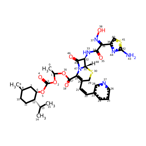 CC(OC(=O)O[C@@H]1C[C@H](C)CC[C@H]1C(C)C)OC(=O)C1=C(/C=C\c2cccnc2)CS[C@H]2[C@H](NC(=O)C(=NO)c3csc(N)n3)C(=O)N12